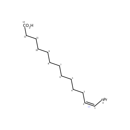 CCC/C=C\CCCCCCCCCCC(=O)O